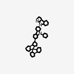 c1ccc(-n2c3cc(-c4ccc5c(c4)-c4ccccc4C54c5ccccc5-c5ccccc54)ccc3c3ccc(-n4c5ccccc5c5cccnc54)cc32)cc1